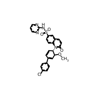 COC1C=C(c2ccc(Cl)cc2)C=C[C@@H]1n1c(=O)ccc2cc(S(=O)(=O)Nc3ncccn3)ccc21